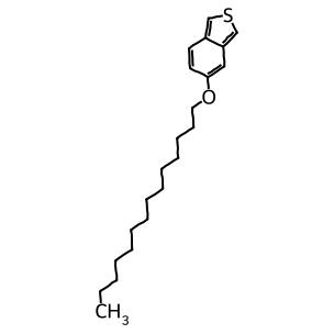 CCCCCCCCCCCCCCOc1ccc2cscc2c1